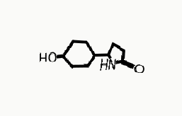 O=C1CCC(C2CCC(O)CC2)N1